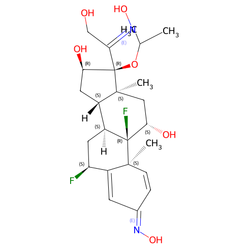 CC(C)O[C@]1(/C(CO)=N/O)[C@H](O)C[C@H]2[C@@H]3C[C@H](F)C4=C/C(=N/O)C=C[C@]4(C)[C@@]3(F)[C@@H](O)C[C@@]21C